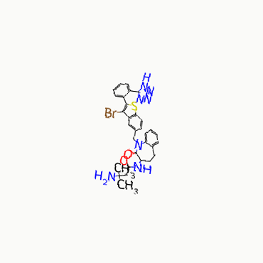 CC(C)(N)CC(=O)N[C@@H]1CCc2ccccc2N(Cc2ccc3sc(-c4ccccc4-c4nnn[nH]4)c(Br)c3c2)C1=O